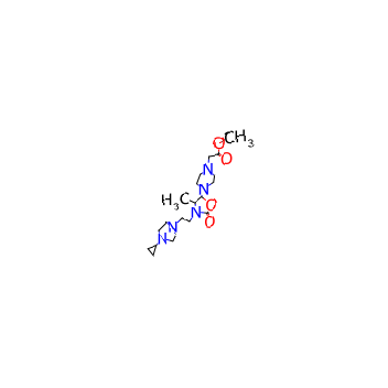 COC(=O)CN1CCN(C2OC(=O)N(CCN3CCN(C4CC4)CC3)C2C)CC1